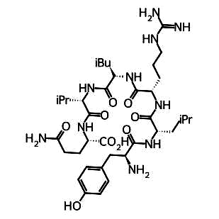 CC[C@H](C)[C@H](NC(=O)[C@H](CCCNC(=N)N)NC(=O)[C@H](CC(C)C)NC(=O)[C@@H](N)Cc1ccc(O)cc1)C(=O)N[C@H](C(=O)N[C@@H](CCC(N)=O)C(=O)O)C(C)C